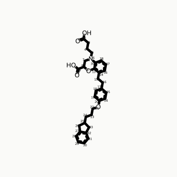 O=C(O)CCCN1CC(C(=O)O)Oc2c(CCc3ccc(OCCCC4Cc5ccccc5C4)cc3)cccc21